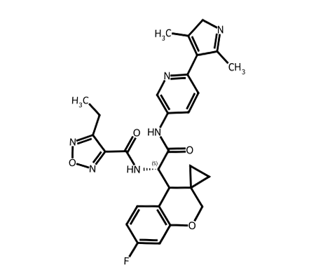 CCc1nonc1C(=O)N[C@H](C(=O)Nc1ccc(C2=C(C)CN=C2C)nc1)C1c2ccc(F)cc2OCC12CC2